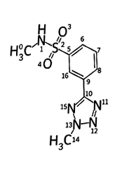 CNS(=O)(=O)c1cccc(-c2nnn(C)n2)c1